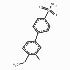 COc1ccc(-c2ccc(S(N)(=O)=O)cc2)cc1F